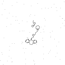 CCOC(=O)[C@@H]1CCCN(CCCOCC=C2c3ccccc3CCc3ccccc32)C1